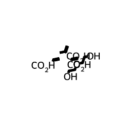 C=C(C)C(=O)O.C=CC(=O)O.C=CC(=O)O.OCCOCCO